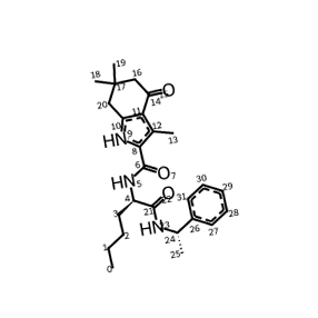 CCCC[C@@H](NC(=O)c1[nH]c2c(c1C)C(=O)CC(C)(C)C2)C(=O)N[C@@H](C)c1ccccc1